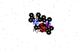 CC1(C)c2ccccc2-c2cccc(-c3nc(-c4cccc5c4-c4cccc(-c6cccc(C7(c8ccccc8)c8ccccc8-c8cccc(-c9nc(-c%10ccccc%10-c%10cccc%11ccccc%10%11)nc(-c%10cccc%11c%10sc%10ccccc%10%11)n9)c87)c6)c4C5(C)C)nc(-c4cccc5c4sc4ccccc45)n3)c21